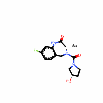 CC[C@H](C)[C@H]1C(=O)Nc2cc(F)ccc2CN1C(=O)N1CC[C@H](O)C1